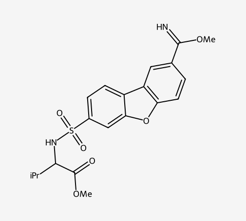 COC(=N)c1ccc2oc3cc(S(=O)(=O)NC(C(=O)OC)C(C)C)ccc3c2c1